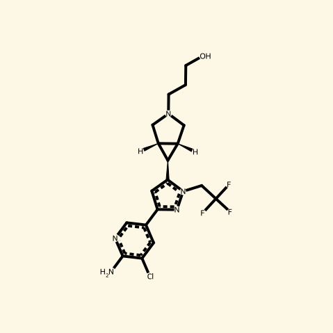 Nc1ncc(-c2cc([C@H]3[C@@H]4CN(CCCO)C[C@@H]43)n(CC(F)(F)F)n2)cc1Cl